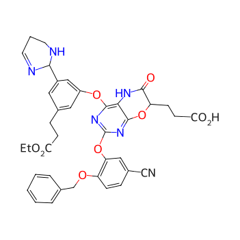 CCOC(=O)CCc1cc(Oc2nc(Oc3cc(C#N)ccc3OCc3ccccc3)nc3c2NC(=O)C(CCC(=O)O)O3)cc(C2N=CCCN2)c1